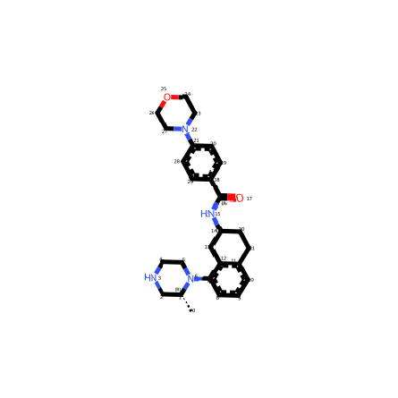 C[C@@H]1CNCCN1c1cccc2c1CC(NC(=O)c1ccc(N3CCOCC3)cc1)CC2